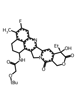 CC[C@@]1(O)C(=O)OCc2c1cc1n(c2=O)Cc2c-1nc1cc(F)c(C)c3c1c2C(NC(=O)COC(C)(C)C)CC3